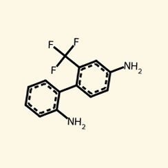 Nc1ccc(-c2ccccc2N)c(C(F)(F)F)c1